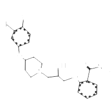 NC(=O)c1ccccc1OCC(O)CN1CCC(Oc2ccc(Cl)c(Cl)c2)CC1